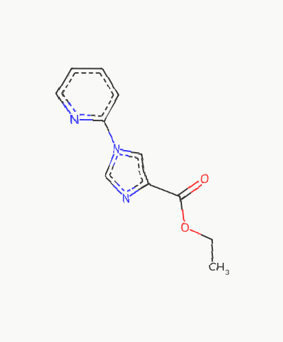 CCOC(=O)c1cn(-c2ccccn2)cn1